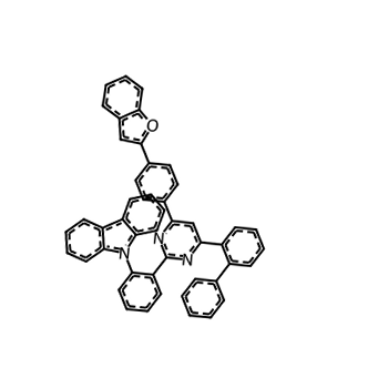 c1ccc(-c2ccccc2-c2cc(-c3ccc(-c4cc5ccccc5o4)cc3)nc(-c3ccccc3-n3c4ccccc4c4ccccc43)n2)cc1